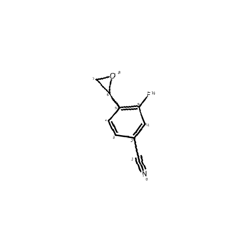 N#Cc1ccc(C2CO2)c(F)c1